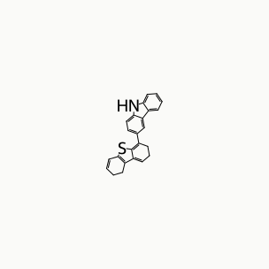 C1=Cc2sc3c(c2CC1)=CCCC=3c1ccc2[nH]c3ccccc3c2c1